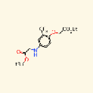 CCOC(=O)COc1ccc(NCC(=O)OC(C)(C)C)cc1C(F)(F)F